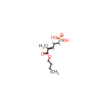 CCCCOC(=O)C(C)=CCCP(=O)(O)O